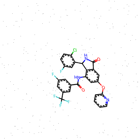 O=C(Nc1cc(Oc2ccccn2)cc2c1C(c1cc(F)ccc1Cl)NC2=O)c1cc(F)cc(C(F)(F)F)c1